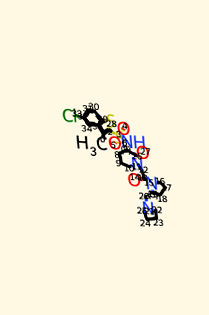 Cc1c(S(=O)(=O)N[C@H]2CCCN(CC(=O)N3CCC[C@H]3CN3CCCC3)C2=O)sc2ccc(Cl)cc12